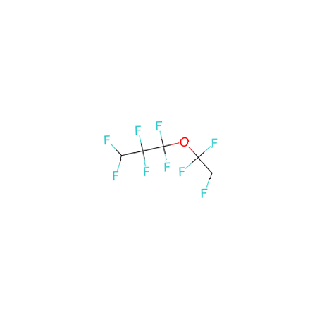 FCC(F)(F)OC(F)(F)C(F)(F)C(F)F